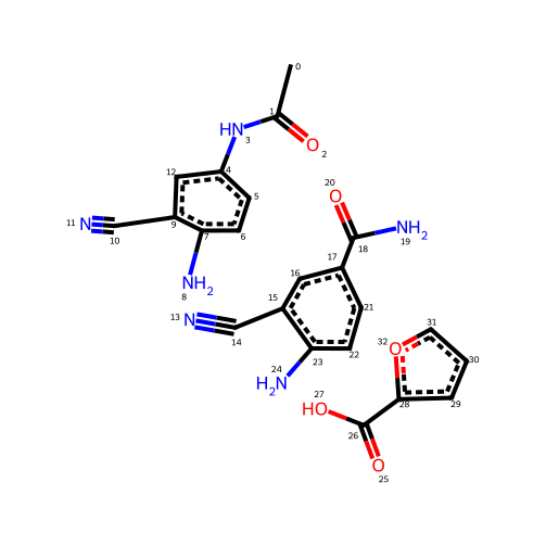 CC(=O)Nc1ccc(N)c(C#N)c1.N#Cc1cc(C(N)=O)ccc1N.O=C(O)c1ccco1